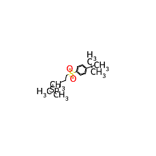 CC(C)(C)c1ccc(S(=O)(=O)CCC[CH2][Sn]([CH3])([CH3])[CH3])cc1